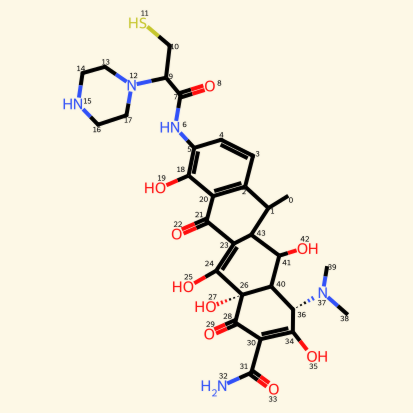 CC1c2ccc(NC(=O)C(CS)N3CCNCC3)c(O)c2C(=O)C2=C(O)[C@]3(O)C(=O)C(C(N)=O)=C(O)[C@@H](N(C)C)C3C(O)C21